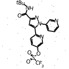 CC(C)(C)NC(=O)c1cc(-c2ccc(OS(=O)(=O)C(F)(F)F)cn2)n(-c2cccnc2)n1